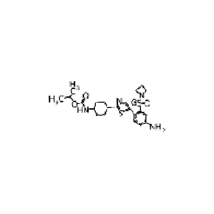 CC(C)OC(=O)NC1CCC(c2ncc(-c3ccc(N)cc3S(=O)(=O)N3CCC3)s2)CC1